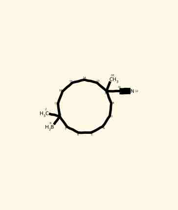 BC1(C)CCCCCCC(C)(C#N)CCCCC1